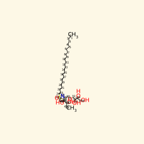 CCCCCCCCCCCCCCCCCCCCCCCCCS(C)(=O)=N[C@@H](COC[C@H](O)[C@@H](O)CO)[C@H](O)[C@H](O)CC